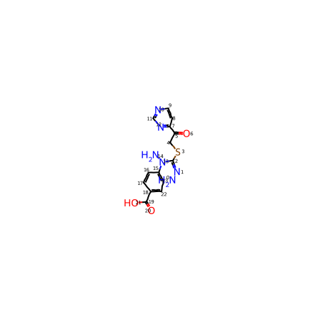 N/N=C(/SCC(=O)c1ccncn1)N(N)c1ccc(C(=O)O)cc1